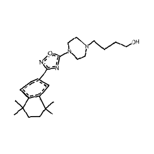 CC1(C)CCC(C)(C)c2cc(-c3noc(N4CCN(CCCCO)CC4)n3)ccc21